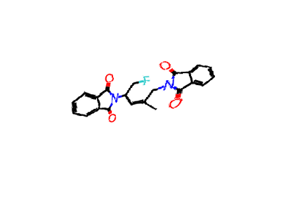 CC(=CC(CF)N1C(=O)c2ccccc2C1=O)CN1C(=O)c2ccccc2C1=O